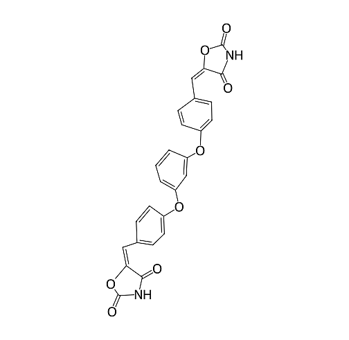 O=C1NC(=O)/C(=C\c2ccc(Oc3cccc(Oc4ccc(/C=C5/OC(=O)NC5=O)cc4)c3)cc2)O1